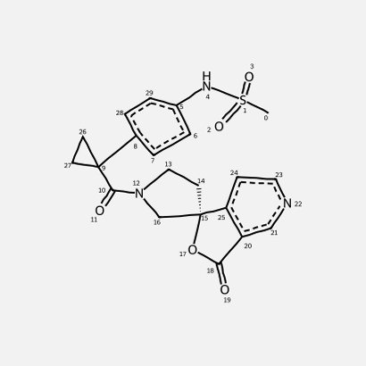 CS(=O)(=O)Nc1ccc(C2(C(=O)N3CC[C@@]4(C3)OC(=O)c3cnccc34)CC2)cc1